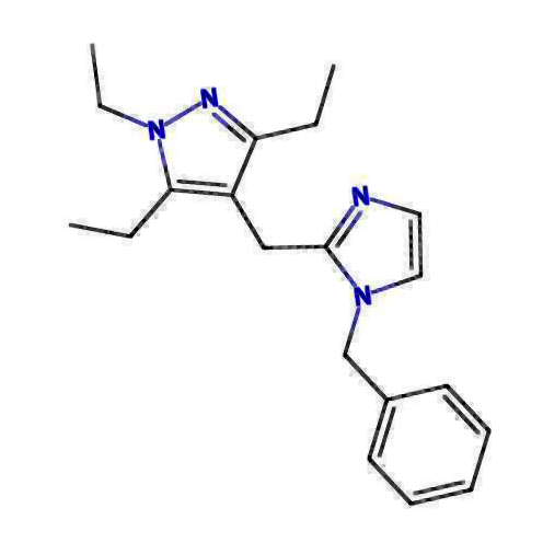 CCc1nn(CC)c(CC)c1Cc1nccn1Cc1ccccc1